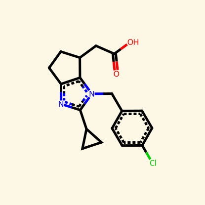 O=C(O)CC1CCc2nc(C3CC3)n(Cc3ccc(Cl)cc3)c21